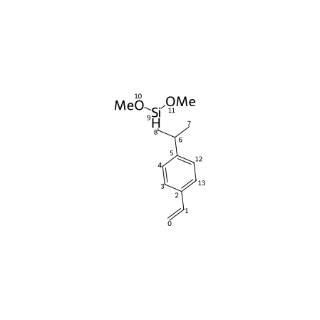 C=Cc1ccc(C(C)C[SiH](OC)OC)cc1